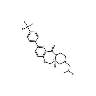 O=C1c2cc(-c3ccc(C(F)(F)F)cc3)ccc2OC[C@H]2CN(CC(F)F)CCN12